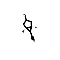 N#CC1[C@H]2CC(O)C[C@@H]12